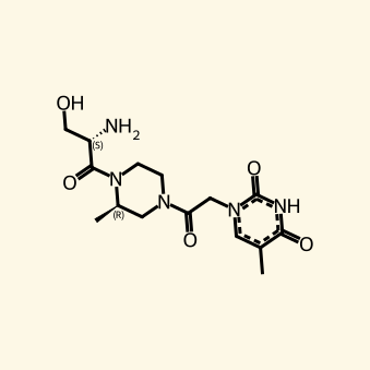 Cc1cn(CC(=O)N2CCN(C(=O)[C@@H](N)CO)[C@H](C)C2)c(=O)[nH]c1=O